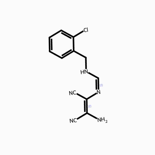 N#C/C(N)=C(C#N)/N=C\NCc1ccccc1Cl